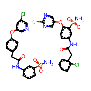 NS(=O)(=O)c1cc(NC(=O)Cc2ccccc2Cl)ccc1Oc1cnc(Cl)nc1.NS(=O)(=O)c1cccc(NC(=O)Cc2ccc(Oc3cncc(Cl)c3)cc2)c1